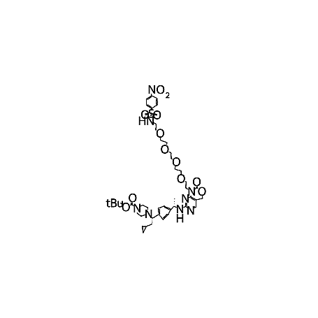 C[C@H](Nc1ncc2c(n1)N(CCOCCOCCOCCOCCNS(=O)(=O)c1ccc([N+](=O)[O-])cc1)C(=O)OC2)c1ccc([C@H](CC2CC2)N2CCN(C(=O)OC(C)(C)C)CC2)cc1